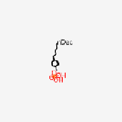 CCCCCCCCCCCCCCCc1ccc(COP(=O)(O)O)cc1